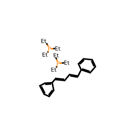 C(/C=C/c1ccccc1)=C\c1ccccc1.CCP(CC)CC.CCP(CC)CC